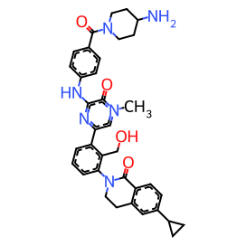 Cn1cc(-c2cccc(N3CCc4cc(C5CC5)ccc4C3=O)c2CO)nc(Nc2ccc(C(=O)N3CCC(N)CC3)cc2)c1=O